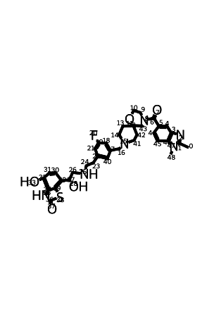 Cc1nc2cc(C(=O)N3CCOC4(CCN(Cc5cc(F)cc(CCNCC(O)c6ccc(O)c7[nH]c(=O)sc67)c5)CC4)C3)ccc2n1C